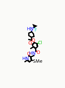 CSc1cc(C)[nH]c(=O)c1CNC(=O)c1cc(Cl)c2c(c1C)OC(C)(C1CCC(NC3(F)CC3)CC1)O2